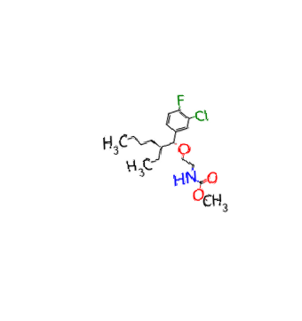 CCCC[C@H](CC)[C@@H](OCCNC(=O)OC)c1ccc(F)c(Cl)c1